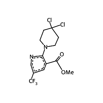 COC(=O)c1cc(C(F)(F)F)cnc1N1CCC(Cl)(Cl)CC1